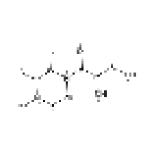 CC1C(C)N(C(=O)C(O)CO)CCN1C